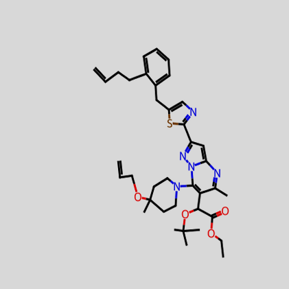 C=CCCc1ccccc1Cc1cnc(-c2cc3nc(C)c(C(OC(C)(C)C)C(=O)OCC)c(N4CCC(C)(OCC=C)CC4)n3n2)s1